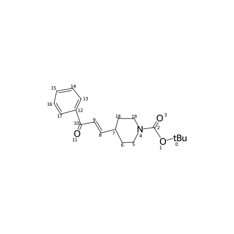 CC(C)(C)OC(=O)N1CCC(/C=C/C(=O)c2ccccc2)CC1